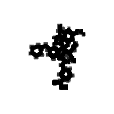 Cc1cc(C)cc(CC(C(C(=O)NCc2cccc(C(=O)O)c2)=C(C#N)C#N)(c2cccc(CN3CCCCC3)c2)N2CCNC2)c1